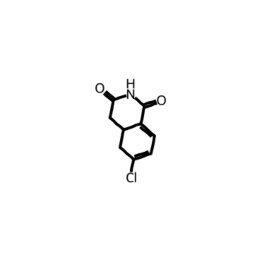 O=C1CC2CC(Cl)=CC=C2C(=O)N1